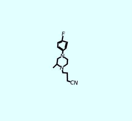 CC1CN(c2ccc(F)cc2)CCN1CCCC#N